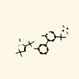 CN1NC(C)(C)C=C1C(C)(O)Nc1cccc(-c2cc(C(C)(O)N=S(C)(C)=O)cnc2N)c1